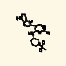 CS(=O)(=O)N1CCCC(Nc2nc(Cl)ncc2-c2cnc3[nH]ccc3n2)C1